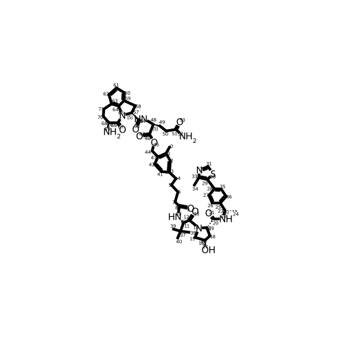 Cc1cc(CCCCC(=O)N[C@H](C(=O)N2C[C@H](O)C[C@H]2C(=O)N[C@@H](C)c2ccc(-c3scnc3C)cc2)C(C)(C)C)ccc1COC(=O)[C@H](CCC(N)=O)NC(=O)[C@@H]1Cc2cccc3c2N1C(=O)[C@@H](N)CC3